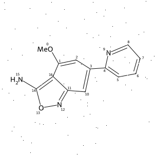 COc1cc(-c2ccccn2)cc2noc(N)c12